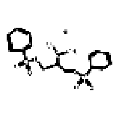 CN(C)C(CSS(=O)(=O)c1ccccc1)CSS(=O)(=O)c1ccccc1.[Ni]